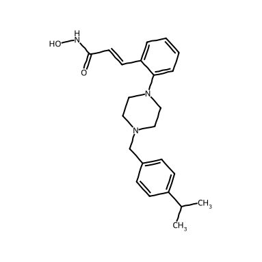 CC(C)c1ccc(CN2CCN(c3ccccc3/C=C/C(=O)NO)CC2)cc1